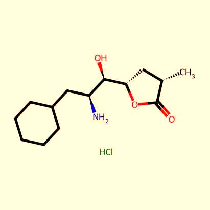 C[C@H]1C[C@@H]([C@H](O)[C@@H](N)CC2CCCCC2)OC1=O.Cl